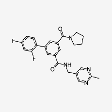 Cc1ncc(CNC(=O)c2cc(C(=O)N3CCCC3)cc(-c3ccc(F)cc3F)c2)cn1